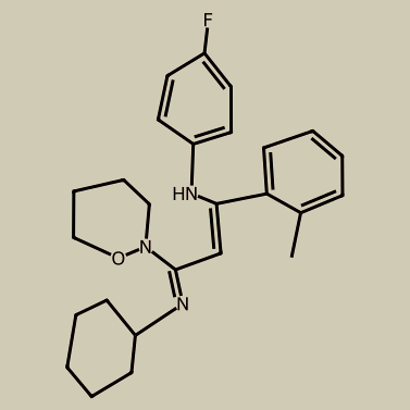 Cc1ccccc1C(=CC(=NC1CCCCC1)N1CCCCO1)Nc1ccc(F)cc1